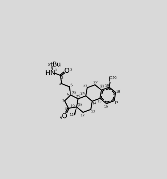 CC(C)(C)NC(=O)CC[C@@H]1CC(=O)[C@@]2(C)CCC3c4cccc(F)c4CCC3C12